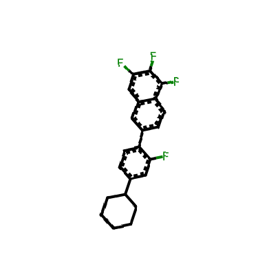 Fc1cc(C2CCCCC2)ccc1-c1ccc2c(F)c(F)c(F)cc2c1